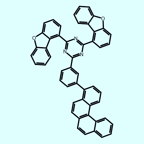 c1cc(-c2nc(-c3cccc4oc5ccccc5c34)nc(-c3cccc4oc5ccccc5c34)n2)cc(-c2cccc3c2ccc2ccc4ccccc4c23)c1